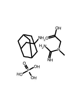 CN(CC(=O)O)C(=N)N.NC12CC3CC(CC(C3)C1)C2.O=P(O)(O)O